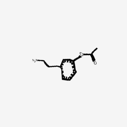 CC(=O)Oc1cccc(CCN)c1